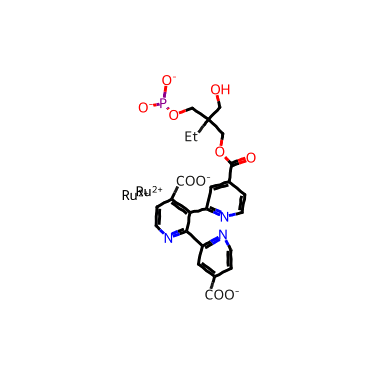 CCC(CO)(COC(=O)c1ccnc(-c2c(C(=O)[O-])ccnc2-c2cc(C(=O)[O-])ccn2)c1)COP([O-])[O-].[Ru+2].[Ru+2]